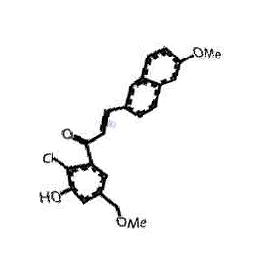 COCc1cc(O)c(Cl)c(C(=O)/C=C/c2ccc3cc(OC)ccc3c2)c1